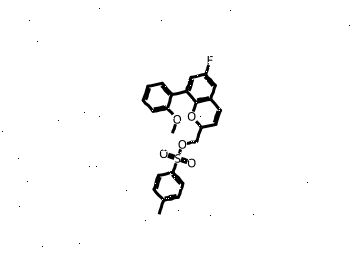 COc1ccccc1-c1cc(F)cc2c1OC(COS(=O)(=O)c1ccc(C)cc1)C=C2